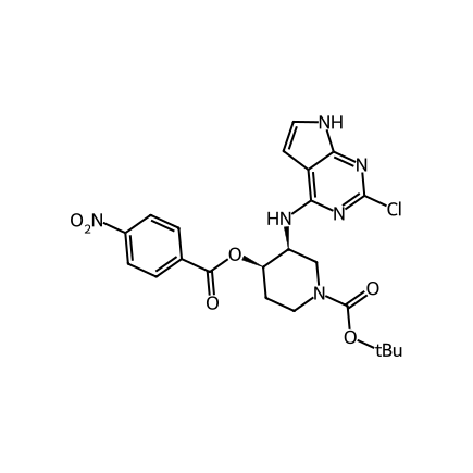 CC(C)(C)OC(=O)N1CC[C@@H](OC(=O)c2ccc([N+](=O)[O-])cc2)[C@@H](Nc2nc(Cl)nc3[nH]ccc23)C1